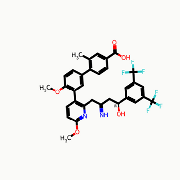 COc1ccc(-c2cc(-c3ccc(C(=O)O)cc3C)ccc2OC)c(CC(=N)C[C@H](O)c2cc(C(F)(F)F)cc(C(F)(F)F)c2)n1